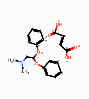 CN(C)CC(Oc1ccccc1)Oc1ccccc1.O=C(O)/C=C/C(=O)O